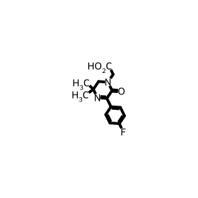 CC1(C)CN(CC(=O)O)C(=O)C(c2ccc(F)cc2)=N1